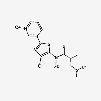 CCN(C(=S)C(C)C[S+](C)[O-])c1sc(-c2ccc[n+]([O-])c2)nc1Cl